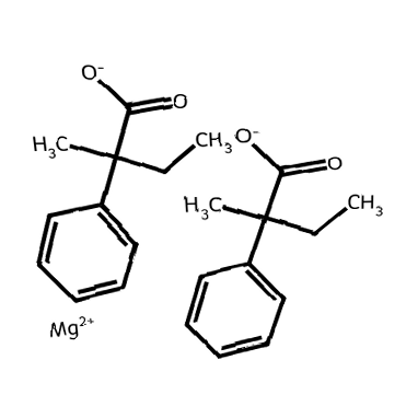 CCC(C)(C(=O)[O-])c1ccccc1.CCC(C)(C(=O)[O-])c1ccccc1.[Mg+2]